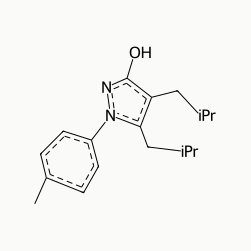 Cc1ccc(-n2nc(O)c(CC(C)C)c2CC(C)C)cc1